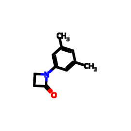 Cc1cc(C)cc(N2CCC2=O)c1